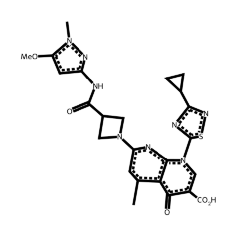 COc1cc(NC(=O)C2CN(c3cc(C)c4c(=O)c(C(=O)O)cn(-c5nc(C6CC6)ns5)c4n3)C2)nn1C